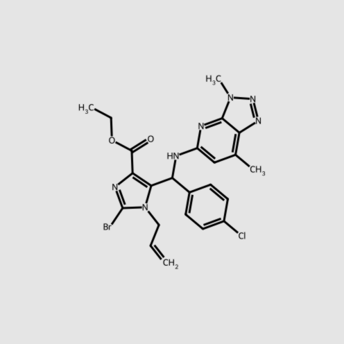 C=CCn1c(Br)nc(C(=O)OCC)c1C(Nc1cc(C)c2nnn(C)c2n1)c1ccc(Cl)cc1